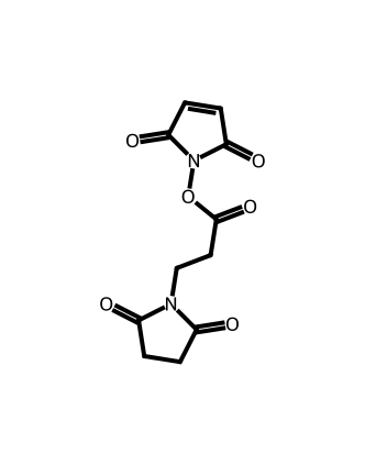 O=C(CCN1C(=O)CCC1=O)ON1C(=O)C=CC1=O